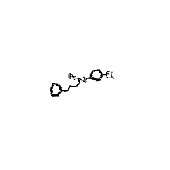 CCc1ccc(N(CCCc2ccccc2)C(C)C)cc1